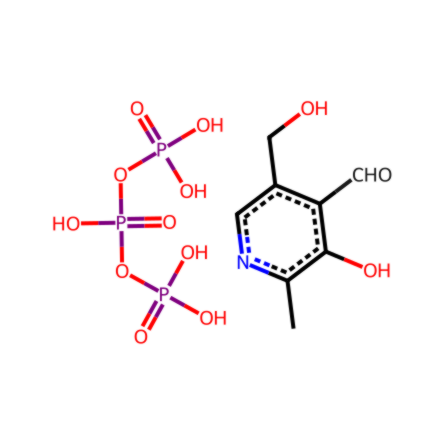 Cc1ncc(CO)c(C=O)c1O.O=P(O)(O)OP(=O)(O)OP(=O)(O)O